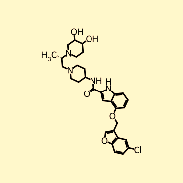 C[C@@H](CN1CCC(NC(=O)c2cc3c(OCc4coc5ccc(Cl)cc45)cccc3[nH]2)CC1)N1CCC(O)C(O)C1